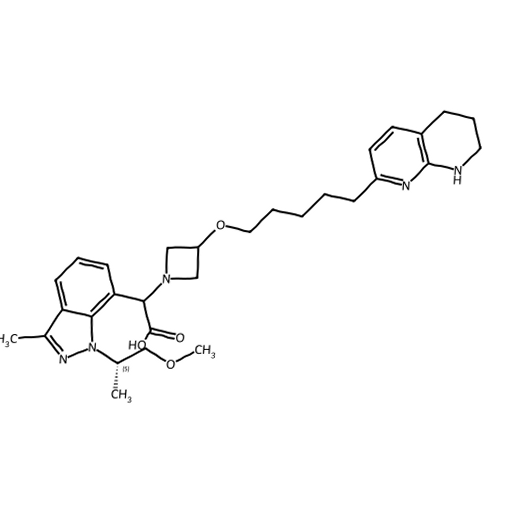 COC[C@H](C)n1nc(C)c2cccc(C(C(=O)O)N3CC(OCCCCCc4ccc5c(n4)NCCC5)C3)c21